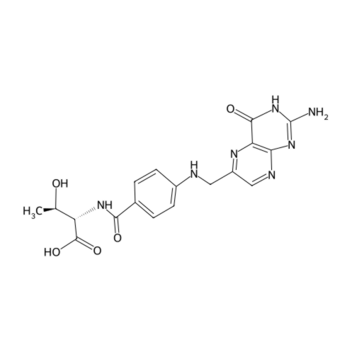 C[C@@H](O)[C@H](NC(=O)c1ccc(NCc2cnc3nc(N)[nH]c(=O)c3n2)cc1)C(=O)O